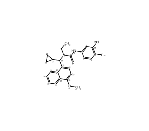 CCN(C(=O)Nc1ccc(F)c(Cl)c1)C(c1cnc(OC)c2ccccc12)C1CC1